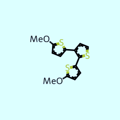 COc1ccc(-c2ccsc2-c2ccc(OC)s2)s1